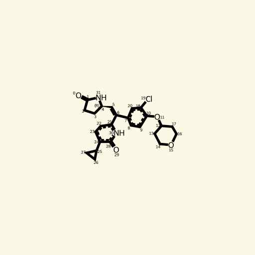 O=C1CC[C@H](C=C(c2ccc(OC3CCOCC3)c(Cl)c2)c2ccc(C3CC3)c(=O)[nH]2)N1